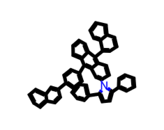 c1ccc(-c2ccc(-c3ccccc3)n2-c2ccc3c(-c4cccc5ccccc45)c4ccccc4c(-c4ccc(-c5ccc6ccccc6c5)cc4)c3c2)cc1